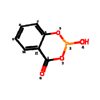 O=C1OP(O)Oc2ccccc21